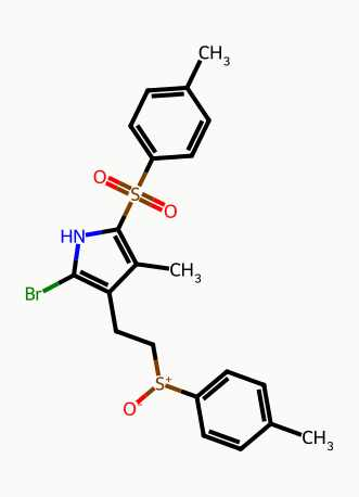 Cc1ccc([S+]([O-])CCc2c(Br)[nH]c(S(=O)(=O)c3ccc(C)cc3)c2C)cc1